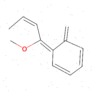 C=c1cccc/c1=C(/C=C\C)OC